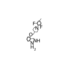 Cc1cc(F)c(N2CCC(COc3cccc(N)c3C=N)CC2)c(F)c1